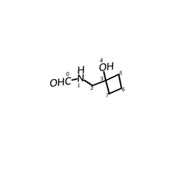 O=CNCC1(O)CCC1